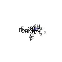 C=N/C(=C(\C=C/C)C(F)(F)F)n1c(=O)c(NC(=O)c2ccc(OC(F)F)cc2)c(-c2ccc(C(F)(F)F)cc2)n1C